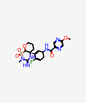 COc1cnc(C(=O)NC2C=C([C@]34CCCOC3S(=O)(=O)N(C)C(=N)N4)C(F)=CC2)cn1